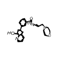 O=C(NCCCN1CCOCC1)c1cccc(-c2cc(O)c3ncccc3c2)c1